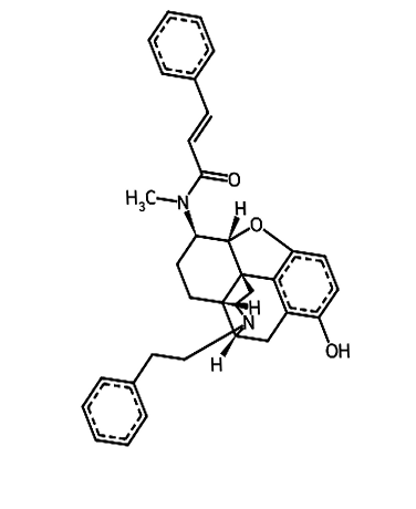 CN(C(=O)C=Cc1ccccc1)[C@@H]1CC[C@H]2[C@H]3Cc4c(O)ccc5c4[C@@]2(CCN3CCc2ccccc2)[C@H]1O5